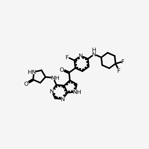 O=C1CC(Nc2ncnc3[nH]cc(C(=O)c4ccc(NC5CCC(F)(F)CC5)nc4F)c23)CN1